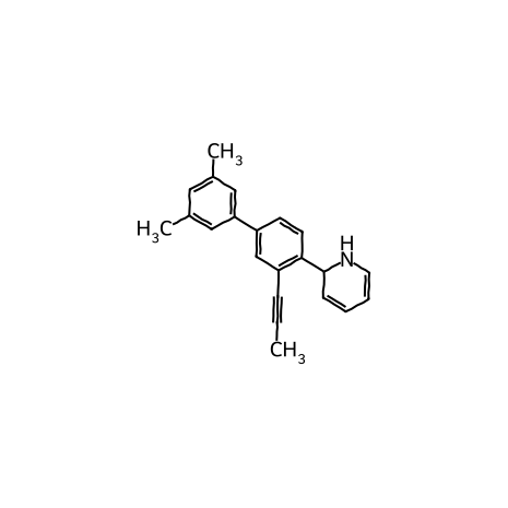 CC#Cc1cc(-c2cc(C)cc(C)c2)ccc1C1C=CC=CN1